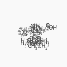 CC(C)(C)[Si](C)(C)O[C@H](CC[C@@H]1[C@@H](CCCCCCC(=O)O)[C@H](O[Si](C)(C)C(C)(C)C)C[C@H]1O[Si](C)(C)C(C)(C)C)c1cc2ccccc2s1